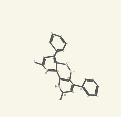 Cc1cc(-c2ccccc2)c2c(n1)C1=C(OO2)C(c2ccccc2)=CC(C)N1